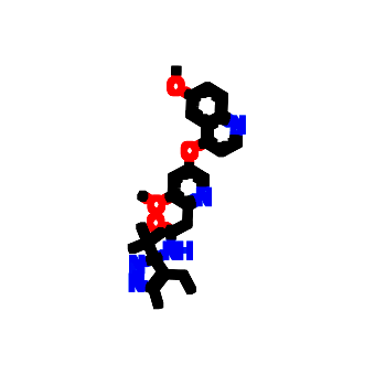 CCC1=C(C)N=NC1(NC(=O)Cc1ncc(Oc2ccnc3ccc(OC)cc23)cc1OC)C(C)(C)C